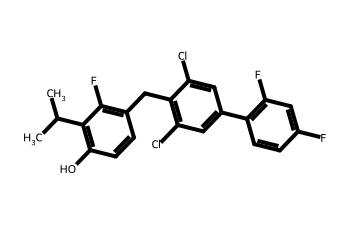 CC(C)c1c(O)ccc(Cc2c(Cl)cc(-c3ccc(F)cc3F)cc2Cl)c1F